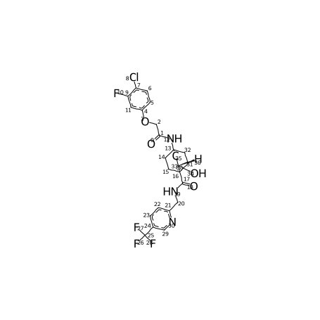 O=C(COc1ccc(Cl)c(F)c1)NC12CCC(C(=O)NCc3ccc(C(F)(F)F)cn3)(CC1)[C@@H](O)C2